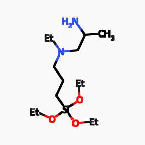 CCO[Si](CCCN(CC)CC(C)N)(OCC)OCC